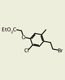 CCOC(=O)COc1cc(C)c(CCBr)cc1Cl